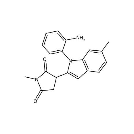 Cc1ccc2cc(C3CC(=O)N(C)C3=O)n(-c3ccccc3N)c2c1